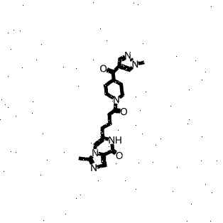 Cc1ncc2c(=O)[nH]c(CCCC(=O)N3CCC(C(=O)c4cnn(C)c4)CC3)cn12